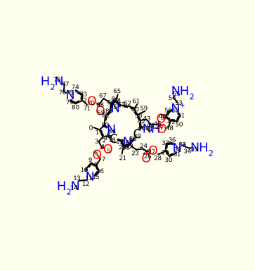 CC1=C(CC(=O)OCc2cc[n+](CCN)cc2)c2cc3c(C)c(CCC(=O)OCc4cc[n+](CCN)cc4)c(cc(=N)c(CCC(=O)OCc4cc[n+](CCN)cc4)c(C)c(C)cc4c(C)c(CC(=O)OCc5cc[n+](CCN)cc5)c(cc1n2)n4C)n3C